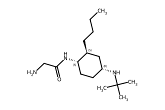 CCCC[C@H]1C[C@H](NC(C)(C)C)CC[C@@H]1NC(=O)CN